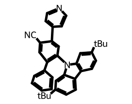 CC(C)(C)c1ccc2c3ccc(C(C)(C)C)cc3n(-c3cc(-c4ccncc4)c(C#N)cc3-c3ccccc3)c2c1